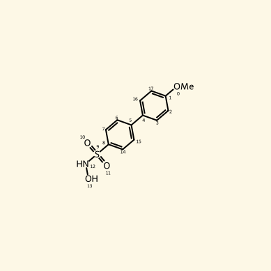 COc1ccc(-c2ccc(S(=O)(=O)NO)cc2)cc1